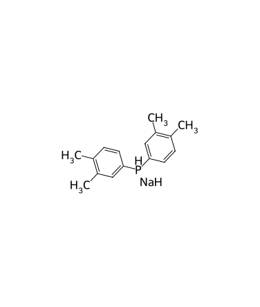 Cc1ccc(Pc2ccc(C)c(C)c2)cc1C.[NaH]